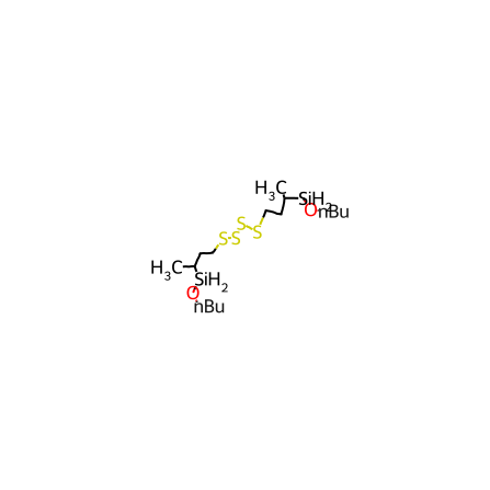 CCCCO[SiH2]C(C)CCSSSSCCC(C)[SiH2]OCCCC